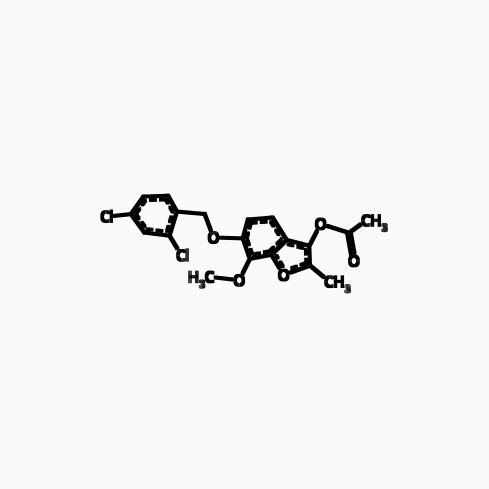 COc1c(OCc2ccc(Cl)cc2Cl)ccc2c(OC(C)=O)c(C)oc12